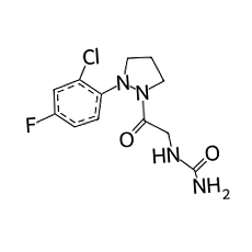 NC(=O)NCC(=O)N1CCCN1c1ccc(F)cc1Cl